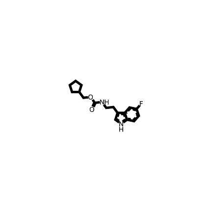 O=C(NCCc1c[nH]c2ccc(F)cc12)OCC1CCCC1